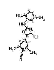 Cc1ccc(N)cc1Nc1nc(Cl)c(-c2cc(C)c(C#N)c(C)c2)o1